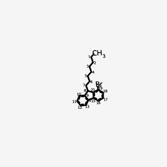 CCCCCCCCC1c2ccccc2-c2cccc(Br)c21